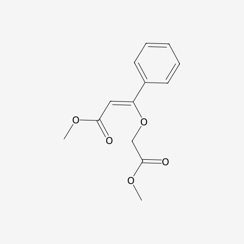 COC(=O)C=C(OCC(=O)OC)c1ccccc1